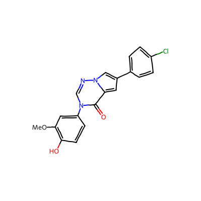 COc1cc(-n2cnn3cc(-c4ccc(Cl)cc4)cc3c2=O)ccc1O